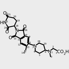 CN(CC(=O)O)C1CCN(c2cc3c(cc2F)C(=O)N(C2CCC(=O)NC2=O)C3=O)CC1